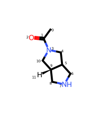 CC(=O)N1CC2CNC[C@@H]2C1